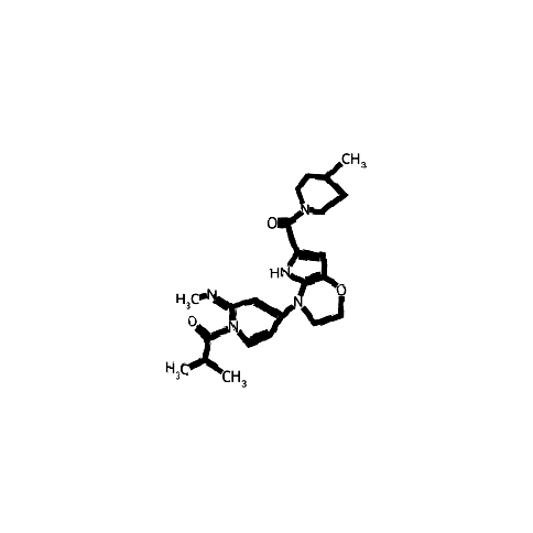 C/N=c1/cc(N2CCOc3cc(C(=O)N4CCC(C)CC4)[nH]c32)ccn1C(=O)C(C)C